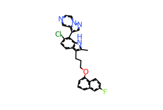 Cc1[nH]c2c(-c3cnn4ccncc34)c(Cl)ccc2c1CCCOc1cccc2cc(F)ccc12